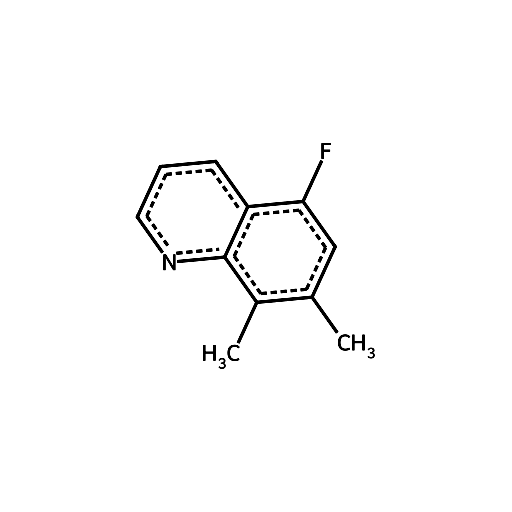 Cc1cc(F)c2cccnc2c1C